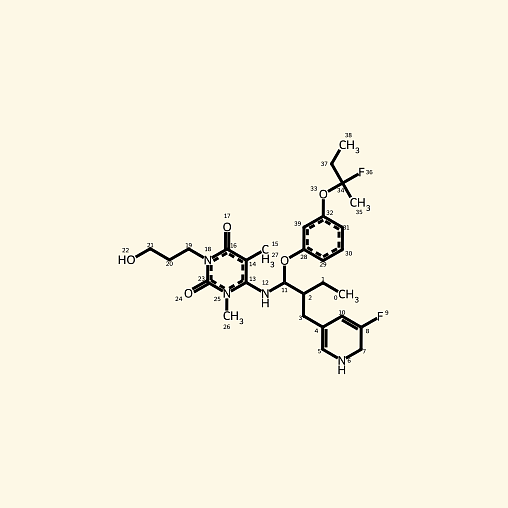 CCC(CC1=CNCC(F)=C1)C(Nc1c(C)c(=O)n(CCCO)c(=O)n1C)Oc1cccc(OC(C)(F)CC)c1